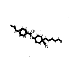 CCCCCCC1(C#N)CCC(OC(=O)c2ccc(CCC)cc2)CC1